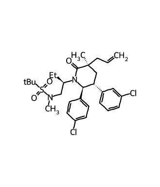 C=CC[C@@]1(C)C[C@H](c2cccc(Cl)c2)[C@@H](c2ccc(Cl)cc2)N([C@H](CC)CN(C)S(=O)(=O)C(C)(C)C)C1=O